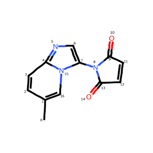 Cc1ccc2ncc(N3C(=O)C=CC3=O)n2c1